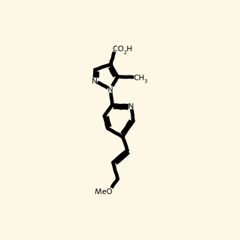 COC/C=C/c1ccc(-n2ncc(C(=O)O)c2C)nc1